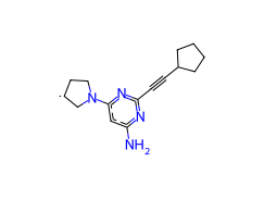 Nc1cc(N2C[CH]CC2)nc(C#CC2CCCC2)n1